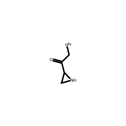 CCCCC(=O)C1CN1